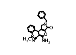 COc1ccccc1C1C(C#N)=C(N)OC2=C1CN(Cc1ccccc1)C2=O